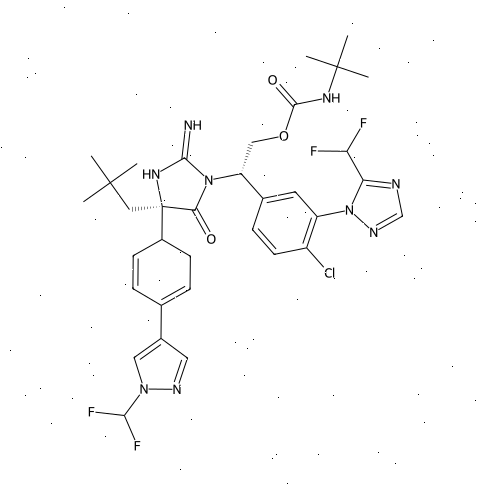 CC(C)(C)C[C@]1(C2C=CC(c3cnn(C(F)F)c3)=CC2)NC(=N)N([C@H](COC(=O)NC(C)(C)C)c2ccc(Cl)c(-n3ncnc3C(F)F)c2)C1=O